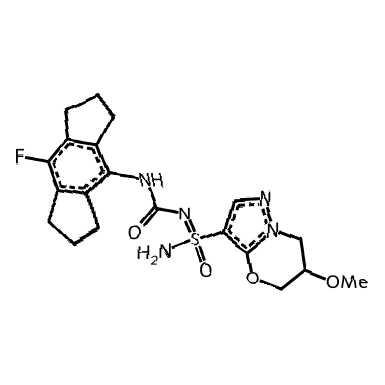 COC1COc2c(S(N)(=O)=NC(=O)Nc3c4c(c(F)c5c3CCC5)CCC4)cnn2C1